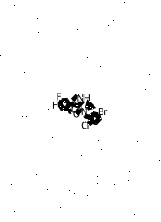 O=C([C@H]1CNCC[C@@]12OCc1cc(F)c(F)cc12)N(Cc1cc(Br)ccc1Cl)C1CC1